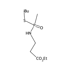 CCOC(=O)CCNP(C)(=O)SC(C)CC